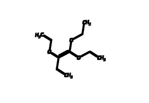 CCOC(CC)=C(OCC)OCC